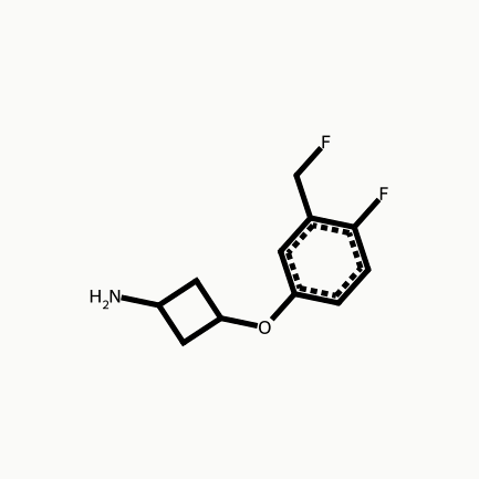 NC1CC(Oc2ccc(F)c(CF)c2)C1